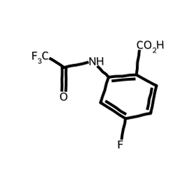 O=C(O)c1ccc(F)cc1NC(=O)C(F)(F)F